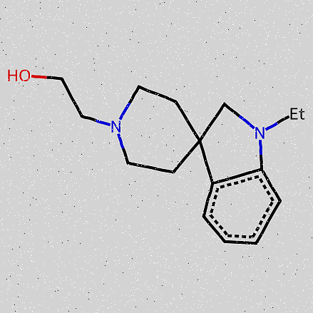 CCN1CC2(CCN(CCO)CC2)c2ccccc21